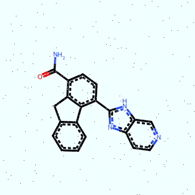 NC(=O)c1ccc(-c2nc3ccncc3[nH]2)c2c1[CH]c1ccccc1-2